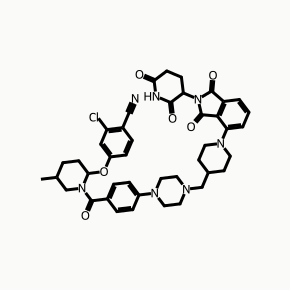 CC1CCC(Oc2ccc(C#N)c(Cl)c2)N(C(=O)c2ccc(N3CCN(CC4CCN(c5cccc6c5C(=O)N(C5CCC(=O)NC5=O)C6=O)CC4)CC3)cc2)C1